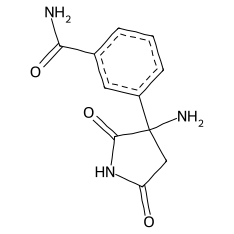 NC(=O)c1cccc(C2(N)CC(=O)NC2=O)c1